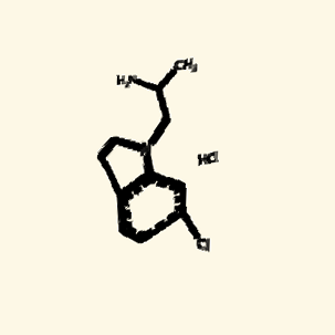 CC(N)CN1CCc2ccc(Cl)cc21.Cl